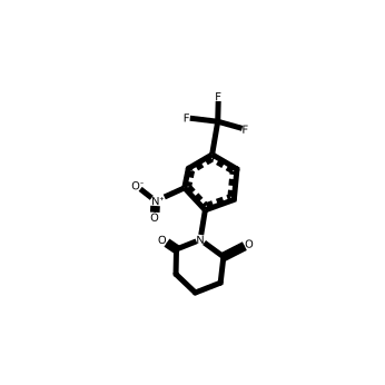 O=C1CCCC(=O)N1c1ccc(C(F)(F)F)cc1[N+](=O)[O-]